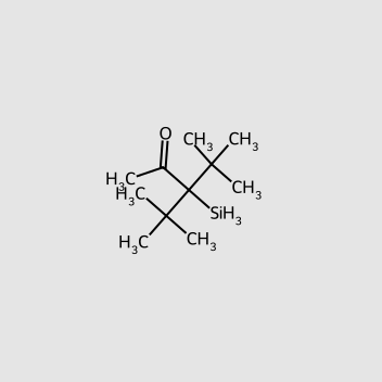 CC(=O)C([SiH3])(C(C)(C)C)C(C)(C)C